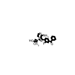 C[C@]1(O)C[C@H](c2nc(-c3ccc(C(=O)c4ccccc4)cc3F)c3c(N)nccn32)C1